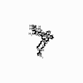 C=CCCCCn1cncc1C[C@H](NC(=O)[C@H](CC(C)C)NC(=O)[C@@H]1CCCN1C(=O)CCOCCOCCNC(=O)[C@@H](N)CS)C(=O)N[C@@H](CO)C(=O)N[C@H](C(N)=O)C(C)OP(=O)(O)O